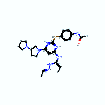 C/C=C(\N/N=C/C)Nc1cc(N2CC[C@H](N3CCCC3)C2)nc(Sc2ccc(NC(=O)CC)cc2)n1